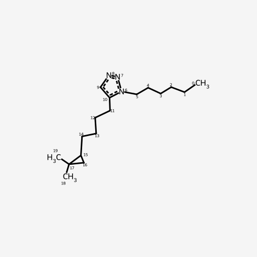 CCCCCCn1nncc1CCCCC1CC1(C)C